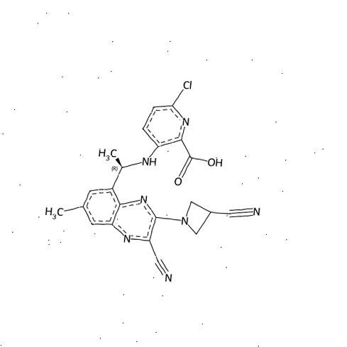 Cc1cc([C@@H](C)Nc2ccc(Cl)nc2C(=O)O)c2nc(N3CC(C#N)C3)c(C#N)nc2c1